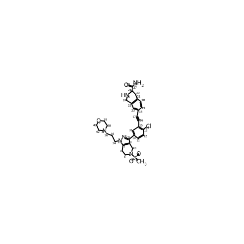 CS(=O)(=O)N1CCc2c(c(-c3ccc(Cl)c(C#Cc4ccc5c(c4)CN[C@@H](C(N)=O)C5)c3)nn2CCCN2CCOCC2)C1